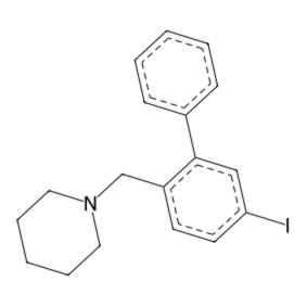 Ic1ccc(CN2CCCCC2)c(-c2ccccc2)c1